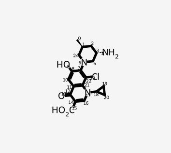 C[C@H]1C[C@H](N)CN(c2c(O)cc3c(=O)c(C(=O)O)cn(C4CC4)c3c2Cl)C1